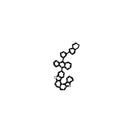 C1=Cc2cc(-c3cccc(-c4c5ccccc5c(-c5ccc6c(c5)oc5ccc7ccc8sc9ccccc9c8c7c56)c5ccccc45)c3)ccc2CC1